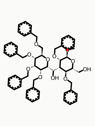 CO[C@H]1O[C@H](CO)[C@@H](OCc2ccccc2)[C@H](C(O)[C@H]2O[C@H](COCc3ccccc3)[C@@H](OCc3ccccc3)[C@@H](OCc3ccccc3)[C@H]2OCc2ccccc2)[C@@H]1OCc1ccccc1